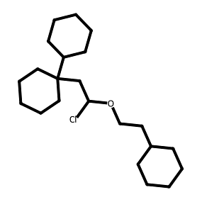 ClC(CC1(C2CCCCC2)CCCCC1)OCCC1CCCCC1